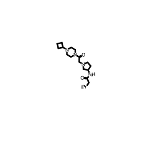 CC(C)CC(=O)NC1CCN(CC(=O)N2CCN(C3CCC3)CC2)C1